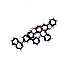 c1cc(-c2cccc(N(c3ccccc3-c3cccc4c3sc3ccccc34)c3cccc4sc5ccccc5c34)c2)cc(-c2cccc3ccccc23)c1